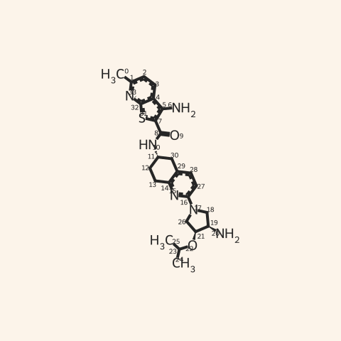 Cc1ccc2c(N)c(C(=O)N[C@H]3CCc4nc(N5C[C@@H](N)[C@@H](OC(C)C)C5)ccc4C3)sc2n1